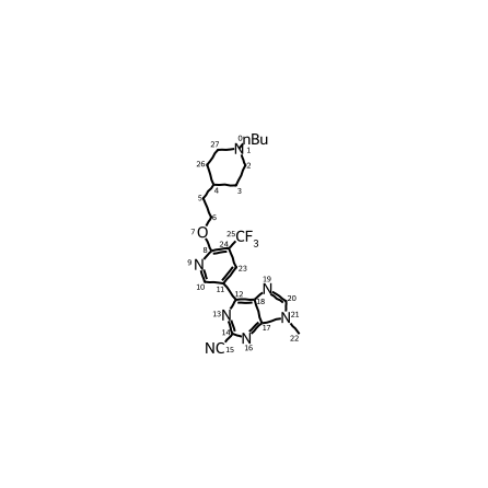 CCCCN1CCC(CCOc2ncc(-c3nc(C#N)nc4c3ncn4C)cc2C(F)(F)F)CC1